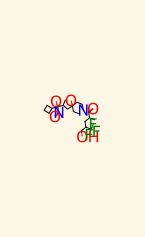 COC(N=O)(C1CCC1)C1COC2(CCN(C(=O)C(C)CC(CO)C(F)(F)F)CC2)C1